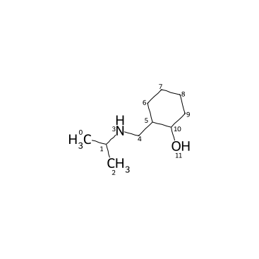 CC(C)NCC1CCCCC1O